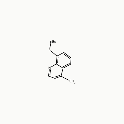 CCCCSc1cccc2c(C)ccnc12